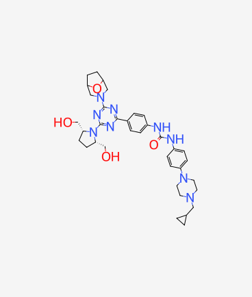 O=C(Nc1ccc(-c2nc(N3CC4CCC(C3)O4)nc(N3[C@H](CO)CC[C@@H]3CO)n2)cc1)Nc1ccc(N2CCN(CC3CC3)CC2)cc1